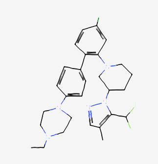 Cc1cnn(C2CCCN(c3cc(Cl)ccc3-c3ccc(N4CCN(CC(F)(F)F)CC4)cc3)C2)c1C(F)F